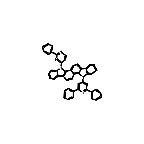 c1ccc(-c2cc(-n3c4ccccc4c4ccc5c(ccc6c7ccccc7n(-c7ccnc(-c8ccccc8)n7)c65)c43)cc(-c3ccccc3)n2)cc1